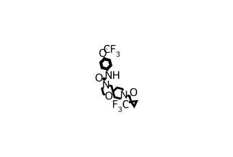 O=C(Nc1ccc(OC(F)(F)F)cc1)N1CCOC2(CCN(C(=O)C3(C(F)(F)F)CC3)CC2)C1